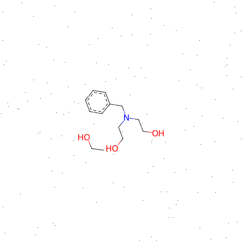 CCO.OCCN(CCO)Cc1ccccc1